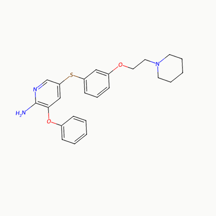 Nc1ncc(Sc2cccc(OCCN3CCCCC3)c2)cc1Oc1ccccc1